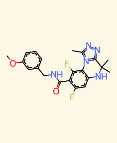 COc1cccc(CNC(=O)c2c(F)cc3c(c2F)-n2c(C)nnc2C(C)(C)N3)c1